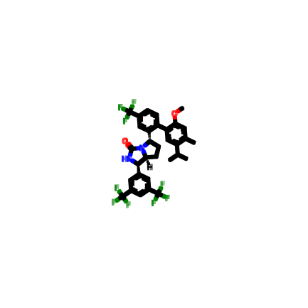 COc1cc(C)c(C(C)C)cc1-c1ccc(C(F)(F)F)cc1[C@@H]1CC[C@H]2[C@@H](c3cc(C(F)(F)F)cc(C(F)(F)F)c3)NC(=O)N12